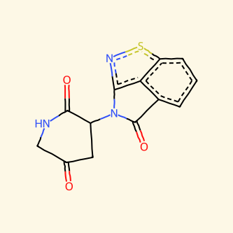 O=C1CNC(=O)C(N2C(=O)c3cccc4snc2c34)C1